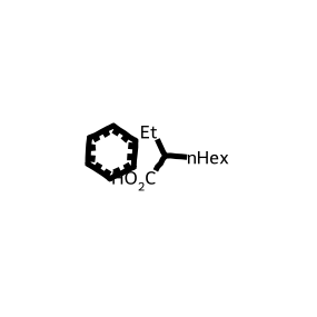 CCCCCCC(CC)C(=O)O.c1ccccc1